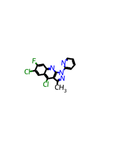 Cc1nn(-c2ccccn2)c2nc3cc(F)c(Cl)cc3c(Cl)c12